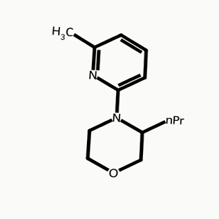 CCCC1COCCN1c1cccc(C)n1